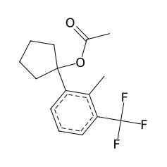 CC(=O)OC1(c2cccc(C(F)(F)F)c2C)CCCC1